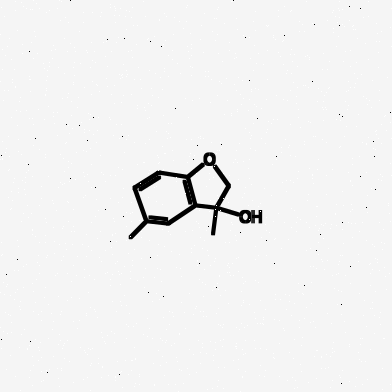 Cc1ccc2c(c1)C(C)(O)CO2